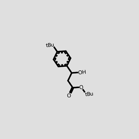 CC(C)(C)OC(=O)CC(O)c1ccc(C(C)(C)C)cc1